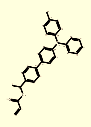 C=CC(=O)OC(C)c1ccc(-c2ccc(N(c3ccccc3)c3ccc(C)cc3)cc2)cc1